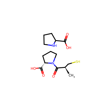 C[C@H](CS)C(=O)N1CCC[C@H]1C(=O)O.O=C(O)C1CCCN1